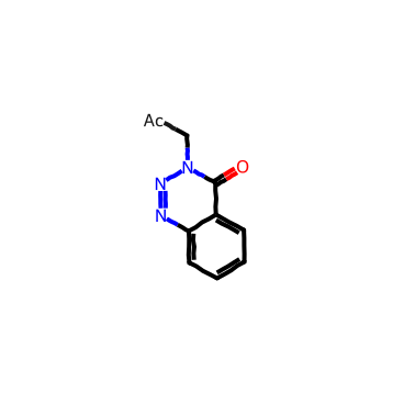 CC(=O)Cn1nnc2ccccc2c1=O